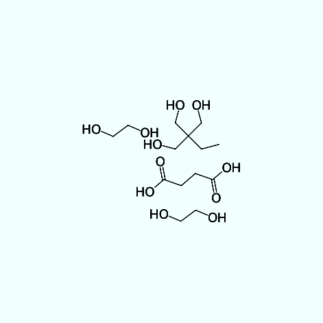 CCC(CO)(CO)CO.O=C(O)CCC(=O)O.OCCO.OCCO